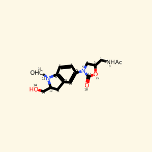 CC(=O)NCC1CN(c2ccc3c(c2)CC(CO)N3C=O)C(=O)O1